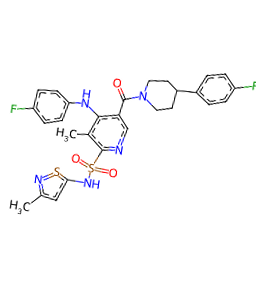 Cc1cc(NS(=O)(=O)c2ncc(C(=O)N3CCC(c4ccc(F)cc4)CC3)c(Nc3ccc(F)cc3)c2C)sn1